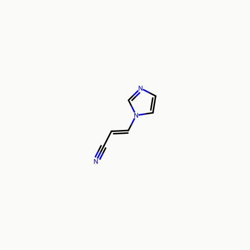 N#CC=Cn1ccnc1